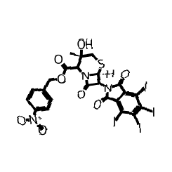 C[C@@]1(O)CS[C@H]2C(N3C(=O)c4c(I)c(I)c(I)c(I)c4C3=O)C(=O)N2C1C(=O)OCc1ccc([N+](=O)[O-])cc1